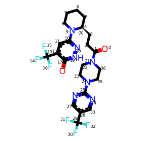 O=C(CC[C@@H]1CCCCN1c1cc(C(F)(F)F)c(=O)[nH]n1)N1CCN(c2ncc(C(F)(F)F)cn2)CC1